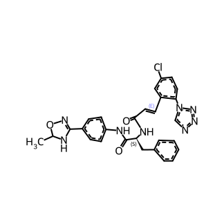 CC1NC(c2ccc(NC(=O)[C@H](Cc3ccccc3)NC(=O)/C=C/c3cc(Cl)ccc3-n3cnnn3)cc2)=NO1